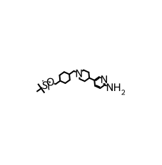 CC(C)(C)[Si](C)(C)OCC1CCC(CN2CCC(c3ccc(N)nc3)CC2)CC1